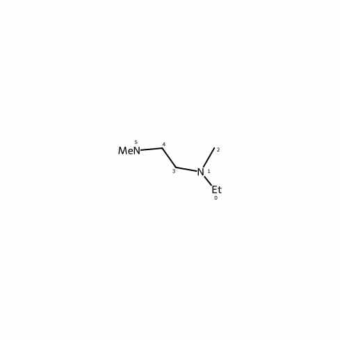 [CH2]CN(C)CCN[CH2]